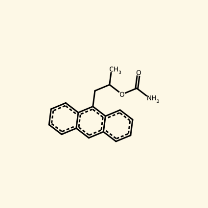 CC(Cc1c2ccccc2cc2ccccc12)OC(N)=O